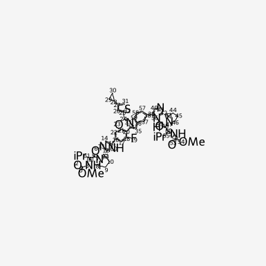 COC(=O)N[C@H](C(=O)N1CCC[C@H]1c1ncc(-c2cc(F)c3c(c2)OC(c2cc(C4CC4)cs2)n2c-3cc3cc(-c4cnc([C@@H]5CCCN5C(=O)[C@@H](NC(=O)OC)C(C)C)[nH]4)ccc32)[nH]1)C(C)C